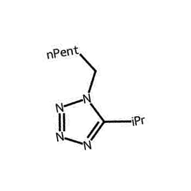 CCCCCCn1nnnc1C(C)C